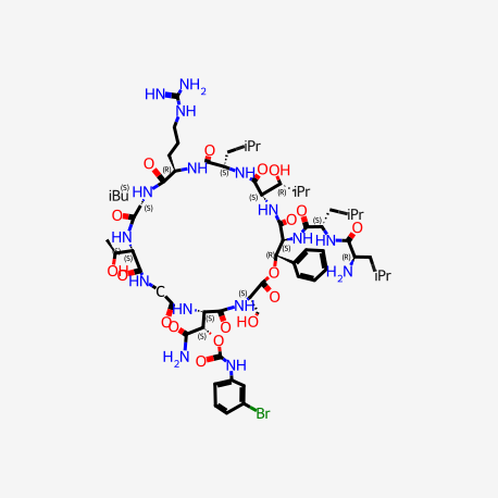 CC[C@H](C)[C@@H]1NC(=O)[C@@H](CCCNC(=N)N)NC(=O)[C@H](CC(C)C)NC(=O)[C@H]([C@H](O)C(C)C)NC(=O)[C@@H](NC(=O)[C@H](CC(C)C)NC(=O)[C@H](N)CC(C)C)[C@@H](c2ccccc2)OC(=O)[C@H](CO)NC(=O)[C@H]([C@H](OC(=O)Nc2cccc(Br)c2)C(N)=O)NC(=O)CNC(=O)[C@H]([C@H](C)O)NC1=O